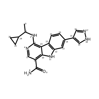 CC(Nc1ncc(C(N)=O)c2[nH]c3cc(-c4cn[nH]c4)ccc3c12)C1CC1